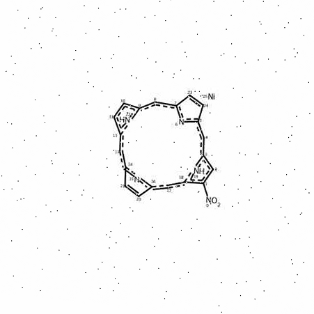 O=[N+]([O-])c1cc2cc3nc(cc4ccc(cc5nc(cc1[nH]2)C=C5)[nH]4)C=C3.[Ni]